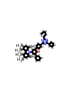 Bc1cc(B)c2c(c1B)c1c(B)c(B)cc(B)c1n2-c1cc(-c2ccccc2)c2oc3cc(-c4nc(-c5ccccc5)nc(-c5ccccc5)n4)ccc3c2c1